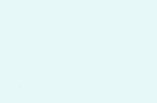 CC([CH]c1ccc(C(C)c2ccc(Br)cc2)c(F)c1)C=O